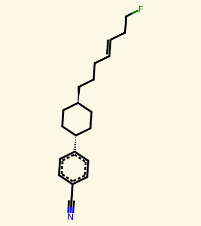 N#Cc1ccc([C@H]2CC[C@H](CCC/C=C/CCF)CC2)cc1